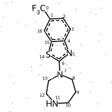 FC(F)(F)c1ccc2nc(N3CCCNCC3)sc2c1